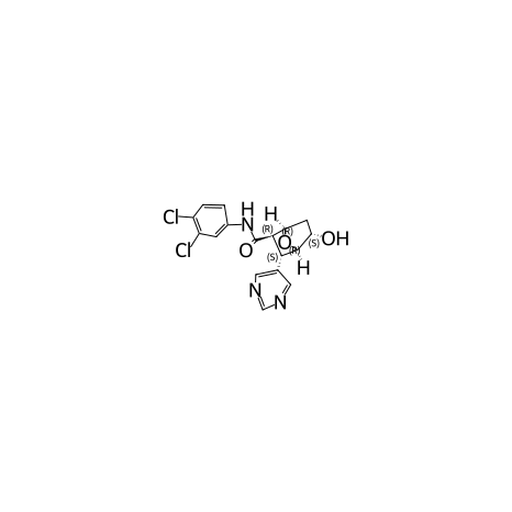 O=C(Nc1ccc(Cl)c(Cl)c1)[C@@H]1[C@@H](c2cncnc2)[C@H]2O[C@@H]1C[C@@H]2O